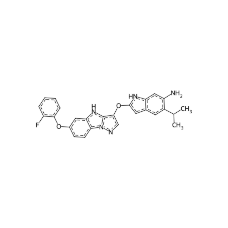 CC(C)c1cc2cc(Oc3cnn4c3[nH]c3cc(Oc5ccccc5F)ccc34)[nH]c2cc1N